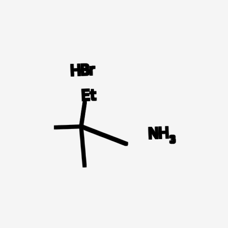 Br.CCC(C)(C)C.N